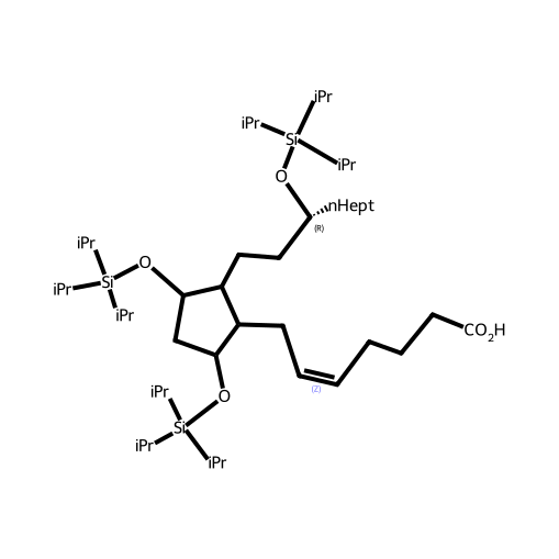 CCCCCCC[C@H](CCC1C(O[Si](C(C)C)(C(C)C)C(C)C)CC(O[Si](C(C)C)(C(C)C)C(C)C)C1C/C=C\CCCC(=O)O)O[Si](C(C)C)(C(C)C)C(C)C